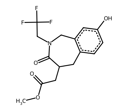 COC(=O)CC1Cc2ccc(O)cc2CN(CC(F)(F)F)C1=O